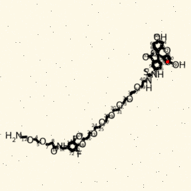 NCCOCCOCCC(=O)NCc1cc(F)c(OC(=O)CCOCCOCCOCCOCCOCCOCCNC(=S)Nc2ccc3c(c2)C(=O)OC32c3ccc(O)cc3Oc3cc(O)ccc32)c(F)c1